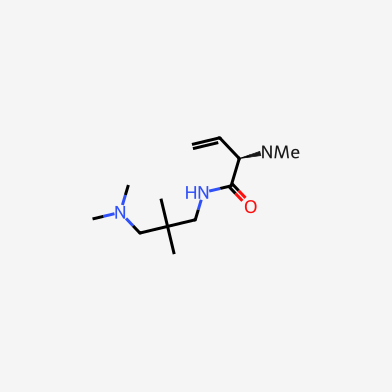 C=C[C@@H](NC)C(=O)NCC(C)(C)CN(C)C